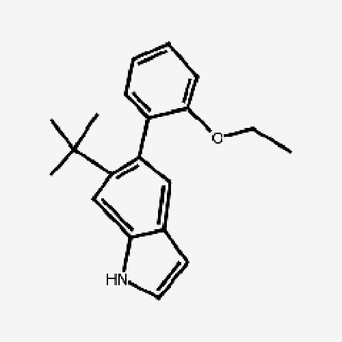 CCOc1ccccc1-c1cc2cc[nH]c2cc1C(C)(C)C